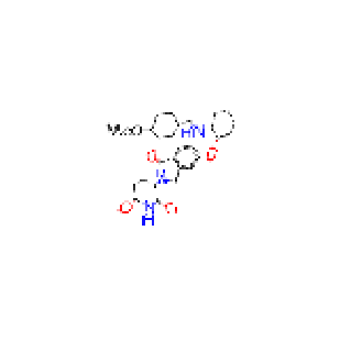 CO[C@H]1CC[C@H](CN[C@@H]2CCCC[C@H]2Oc2ccc3c(c2)CN(C2CCC(=O)NC2=O)C3=O)CC1